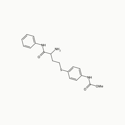 COC(=O)Nc1ccc(SCCC(N)C(=O)Nc2ccccc2)cc1